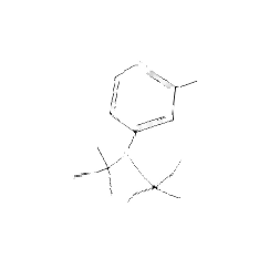 Cc1cc(N(C(C)(C)C)C(C)(C)C)ccn1